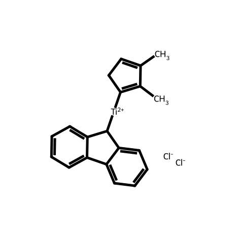 CC1=CC[C]([Ti+2][CH]2c3ccccc3-c3ccccc32)=C1C.[Cl-].[Cl-]